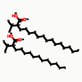 CCCCCCCCCCCCC(C(=O)O)C(C)C.CCCCCCCCCCCCCCC(C(=O)O)C(C)C